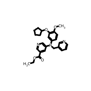 CCOC(=O)c1cncc(N(Cc2cccnc2)c2ccc(OC)c(OC3CCCC3)c2)c1